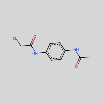 CC(=O)Nc1ccc(NC(=O)CCl)cc1